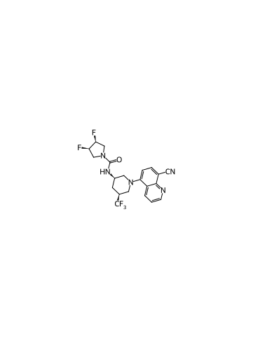 N#Cc1ccc(N2C[C@H](NC(=O)N3C[C@@H](F)[C@@H](F)C3)C[C@H](C(F)(F)F)C2)c2cccnc12